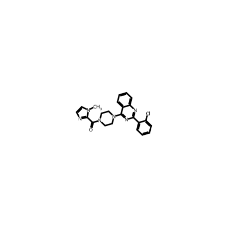 Cn1ccnc1C(=O)N1CCN(c2nc(-c3ccccc3Cl)nc3ccccc23)CC1